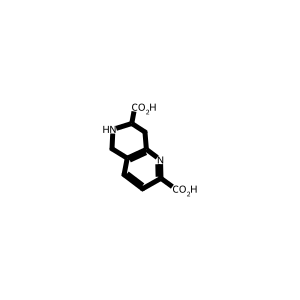 O=C(O)c1ccc2c(n1)CC(C(=O)O)NC2